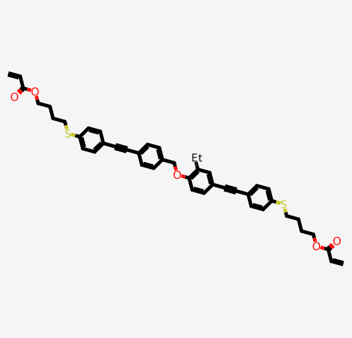 C=CC(=O)OCCCCSc1ccc(C#Cc2ccc(COc3ccc(C#Cc4ccc(SCCCCOC(=O)C=C)cc4)cc3CC)cc2)cc1